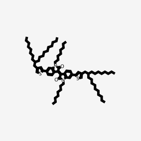 CCCCCCCCCCC(CCCCCCCC)Cc1csc(-c2ccc3c(c2)N(CCCCCCCC)C(=O)/C3=C2/C(=O)N(CCCCCCCC)c3cc(-c4cc(CC(CCCCCCCC)CCCCCCCCCC)cs4)ccc32)c1